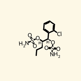 CCC[C@@H](OS(N)(=O)=O)[C@H](OS(N)(=O)=O)c1ccccc1Cl